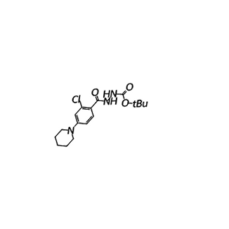 CC(C)(C)OC(=O)NNC(=O)c1ccc(N2CCCCC2)cc1Cl